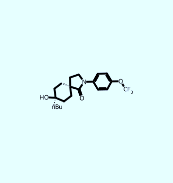 CCCC[C@]1(O)CC[C@@]2(CCN(c3ccc(OC(F)(F)F)cc3)C2=O)CC1